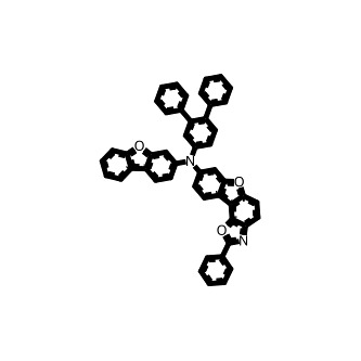 c1ccc(-c2nc3ccc4oc5cc(N(c6ccc(-c7ccccc7)c(-c7ccccc7)c6)c6ccc7c(c6)oc6ccccc67)ccc5c4c3o2)cc1